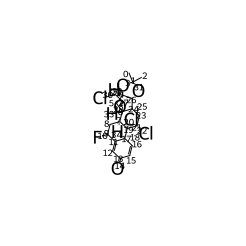 CC1(C)O[C@@H]2C[C@H]3[C@@H]4C[C@H](F)C5=CC(=O)C=C[C@]5(C)[C@@]4(Cl)[C@@H](Cl)C[C@]3(C)[C@]2(C(=O)CCl)O1